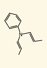 CC=CN(C=CC)c1ccccc1